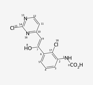 O=C(O)Nc1cccc(C(O)=Cc2ccnc(Cl)n2)c1Cl